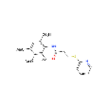 COc1cc(C(=O)O)c(NC(=O)CCSc2ccccn2)c(OC)c1OC